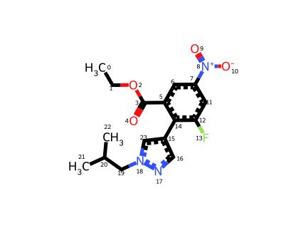 CCOC(=O)c1cc([N+](=O)[O-])cc(F)c1-c1cnn(CC(C)C)c1